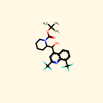 CC(C)(C)OC(=O)N1CCCCC1C(O)c1cc(C(F)(F)F)nc2c(C(F)(F)F)cccc12